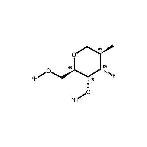 [3H]OC[C@H]1OC[C@@H](C)[C@H](F)[C@@H]1O[3H]